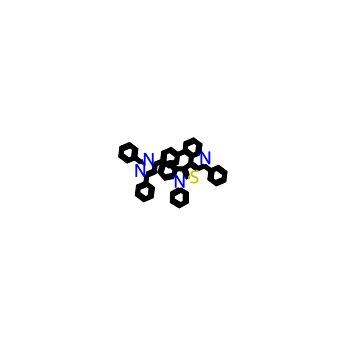 c1ccc(-c2cc(-c3ccc(-c4cccc5nc(-c6ccccc6)c6sc7c(c8ccccc8n7-c7ccccc7)c6c45)cc3)nc(-c3ccccc3)n2)cc1